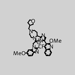 COc1ccc2nc(C(F)(F)F)n(CC(=O)N3CCN(CC4CCOC4)CCC3c3ncc(-c4cc5ccccc5nc4OC)[nH]3)c2c1